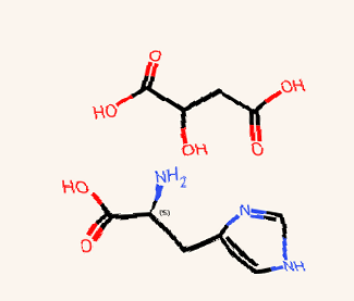 N[C@@H](Cc1c[nH]cn1)C(=O)O.O=C(O)CC(O)C(=O)O